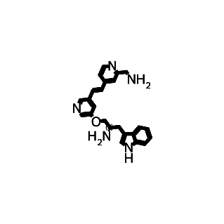 NCc1cc(C=Cc2cncc(OC[C@@H](N)Cc3c[nH]c4ccccc34)c2)ccn1